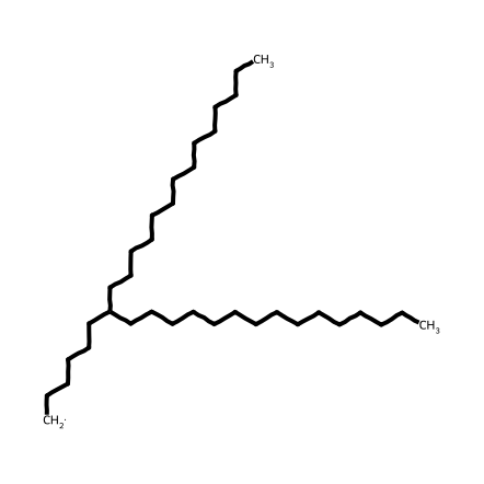 [CH2]CCCCCC(CCCCCCCCCCCCCC)CCCCCCCCCCCCCCC